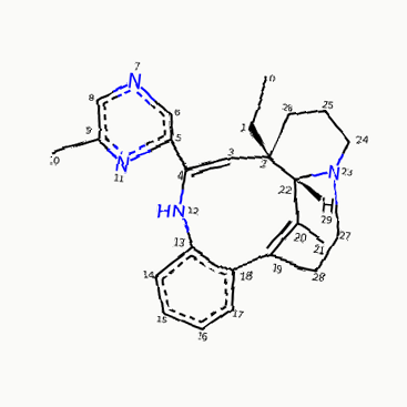 CC[C@]12/C=C(/c3cncc(C)n3)Nc3ccccc3C3=C(C)[C@H]1N(CCC2)CC3